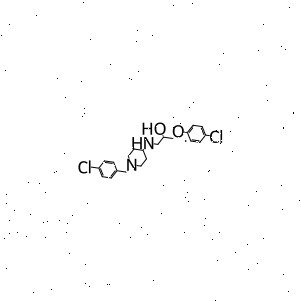 O[C@@H](CNC1CCN(Cc2ccc(Cl)cc2)CC1)COc1[c]cc(Cl)cc1